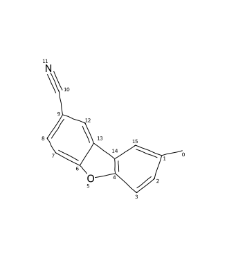 Cc1ccc2oc3ccc(C#N)cc3c2c1